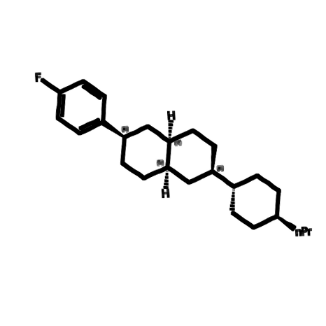 CCC[C@H]1CC[C@H]([C@@H]2CC[C@@H]3C[C@H](c4ccc(F)cc4)CC[C@@H]3C2)CC1